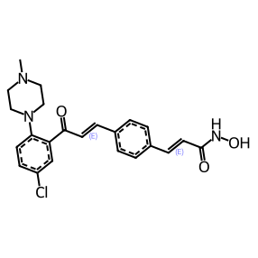 CN1CCN(c2ccc(Cl)cc2C(=O)/C=C/c2ccc(/C=C/C(=O)NO)cc2)CC1